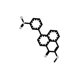 COC1=Cc2cccc3c(-c4cccc([N+](=O)[O-])c4)ccc(c23)C1=O